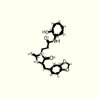 O=C(CCN1C(=O)C(=Cc2ccc3c(c2)OCO3)SC1=S)Nc1ccccc1O